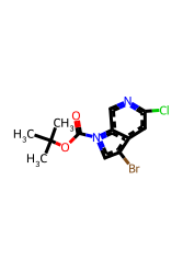 CC(C)(C)OC(=O)n1cc(Br)c2cc(Cl)ncc21